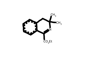 CCOC(=O)C1=NC(C)(C)Cc2ccccc21